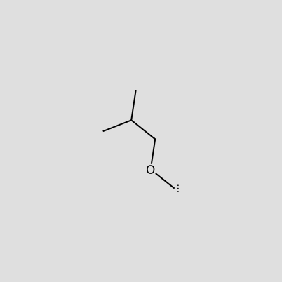 [C]OCC(C)C